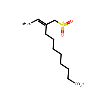 CCCCCC/C=C(\CCCCCCCC(=O)O)C[SH](=O)=O